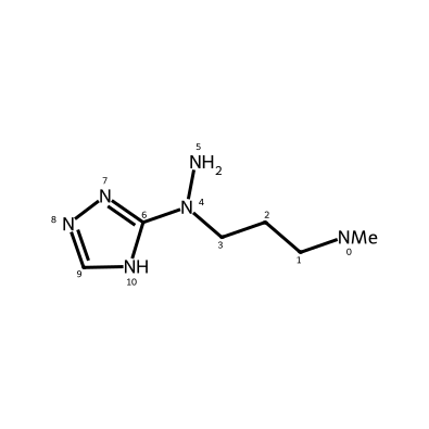 CNCCCN(N)c1nnc[nH]1